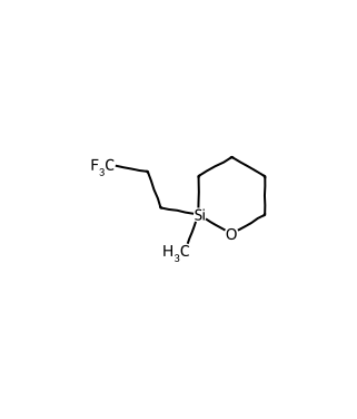 C[Si]1(CCC(F)(F)F)CCCCO1